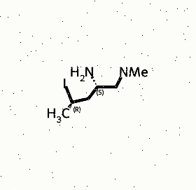 CNC[C@@H](N)C[C@@H](C)I